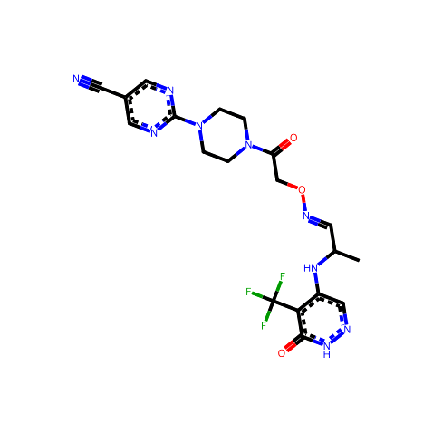 CC(/C=N/OCC(=O)N1CCN(c2ncc(C#N)cn2)CC1)Nc1cn[nH]c(=O)c1C(F)(F)F